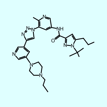 CCCc1cc(C(=O)Nc2cnc(C)c(-n3cc(-c4cncc(N5CCN(CCC)CC5)c4)nn3)c2)nn1C(C)(C)C